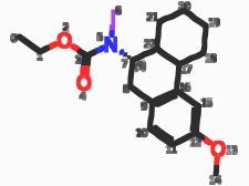 CCOC(=O)N(I)[C@H]1Cc2ccc(OC)cc2C2CCCCC21